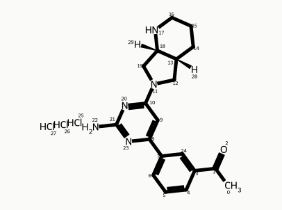 CC(=O)c1cccc(-c2cc(N3C[C@H]4CCCN[C@H]4C3)nc(N)n2)c1.Cl.Cl.Cl